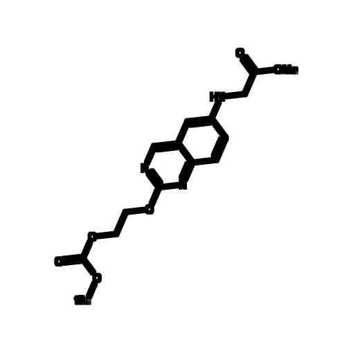 COC(=O)CNc1ccc2nc(OCCOC(=O)OC(C)(C)C)ncc2c1